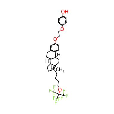 C[C@]12CC[C@@H]3c4ccc(OCCOc5ccc(O)cc5)cc4CC[C@H]3[C@@H]1CC[C@@H]2CCCCOC(C(F)(F)F)(C(F)(F)F)C(F)(F)F